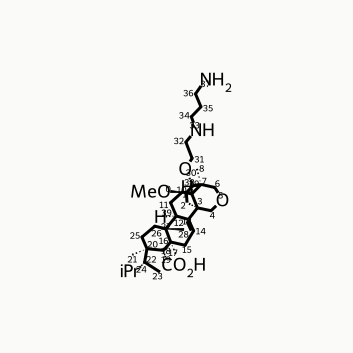 CO[C@@H]1C[C@@]23COC[C@@](C)([C@@H]2CC[C@H]2C3=CC[C@@]3(C)[C@H](C(=O)O)[C@@](C)([C@H](C)C(C)C)CC[C@]23C)[C@H]1OCCNCCCN